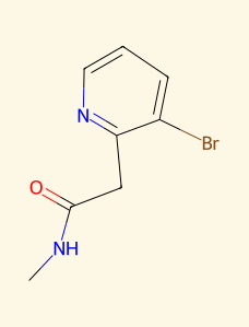 CNC(=O)Cc1ncccc1Br